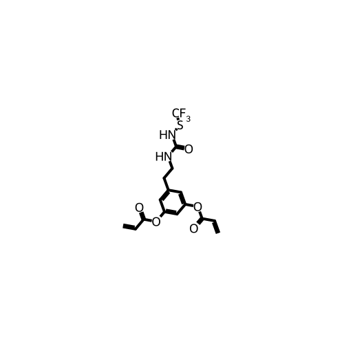 C=CC(=O)Oc1cc(CCNC(=O)NSC(F)(F)F)cc(OC(=O)C=C)c1